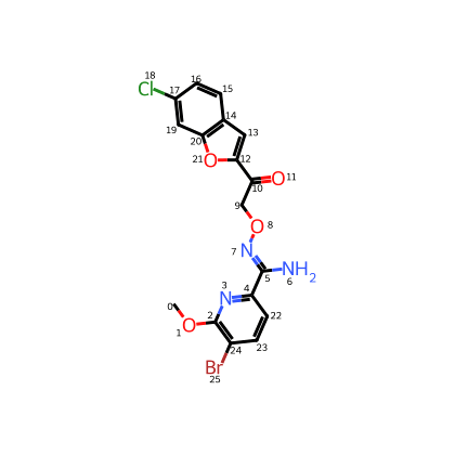 COc1nc(/C(N)=N/OCC(=O)c2cc3ccc(Cl)cc3o2)ccc1Br